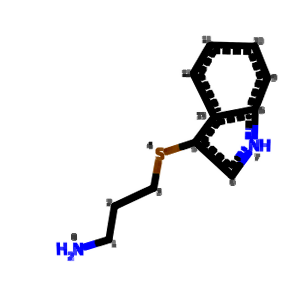 NCCCSc1c[nH]c2ccccc12